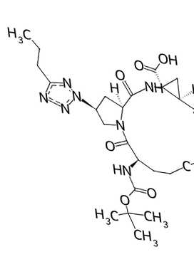 CCCc1nnn([C@H]2C[C@H]3C(=O)N[C@@]4(C(=O)O)C[C@H]4/C=C\CCCCC[C@@H](NC(=O)OC(C)(C)C)C(=O)N3C2)n1